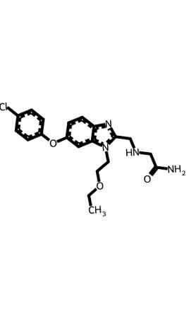 CCOCCn1c(CNCC(N)=O)nc2ccc(Oc3ccc(Cl)cc3)cc21